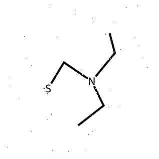 CCN(CC)C[S]